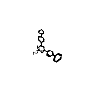 Oc1nc(-c2ccc(-c3ccccc3)cc2)nc(-c2ccc(-c3ccccc3)cc2)n1